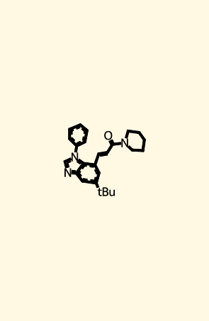 CC(C)(C)c1cc(/C=C/C(=O)N2CCCCC2)c2c(c1)ncn2-c1ccccc1